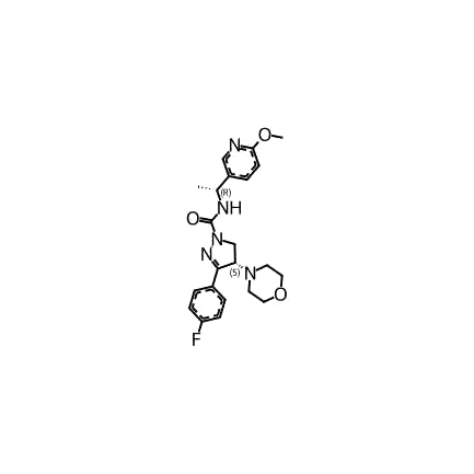 COc1ccc([C@@H](C)NC(=O)N2C[C@H](N3CCOCC3)C(c3ccc(F)cc3)=N2)cn1